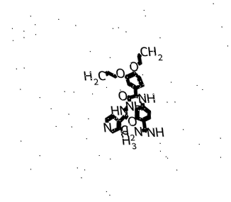 C=CCOc1ccc(C(Nc2ccc(C(=N)N)cc2)C(=O)NNC(=O)c2ccncc2C)cc1OCC=C